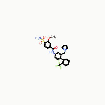 COc1cc(C(=O)Nc2ccc(-c3ccccc3C(F)(F)F)c(Cn3cccc3)c2)ccc1S(N)(=O)=O